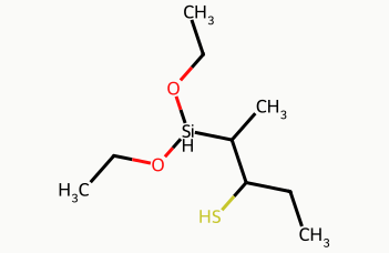 CCO[SiH](OCC)C(C)C(S)CC